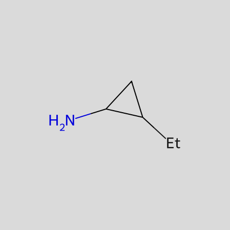 CCC1CC1N